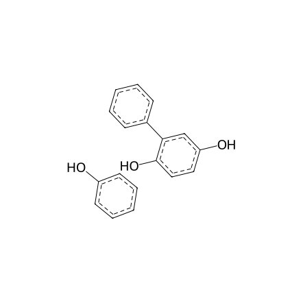 Oc1ccc(O)c(-c2ccccc2)c1.Oc1ccccc1